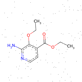 CCOC(=O)c1ccnc(N)c1OCC